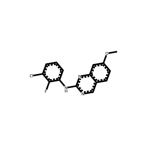 COc1ccc2cnc(Nc3cccc(Cl)c3F)nc2c1